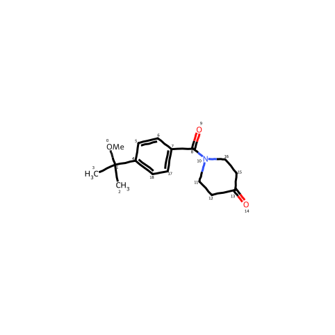 COC(C)(C)c1ccc(C(=O)N2CCC(=O)CC2)cc1